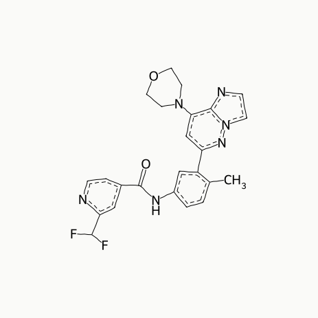 Cc1ccc(NC(=O)c2ccnc(C(F)F)c2)cc1-c1cc(N2CCOCC2)c2nccn2n1